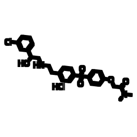 CN(C)C(=O)COc1ccc(S(=O)(=O)c2ccc(CCNCC(O)c3cccc(Cl)c3)cc2)cc1.Cl